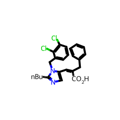 CCCCc1ncc(C=C(Cc2ccccc2)C(=O)O)n1Cc1cccc(Cl)c1Cl